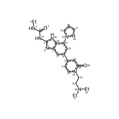 CCNC(=O)Nc1nc2cc(-c3ccn(CCN(CC)CC)c(=O)c3)cc(-n3cccn3)c2[nH]1